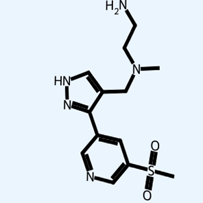 CN(CCN)Cc1c[nH]nc1-c1cncc(S(C)(=O)=O)c1